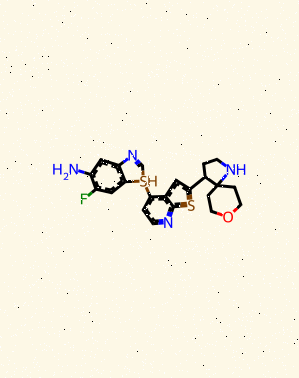 Nc1cc2c(cc1F)[SH](c1ccnc3sc(C4CCNC45CCOCC5)cc13)C=N2